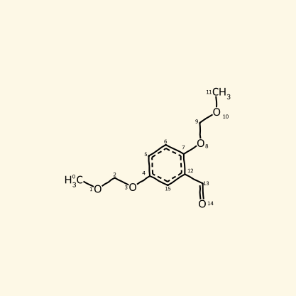 COCOc1ccc(OCOC)c(C=O)c1